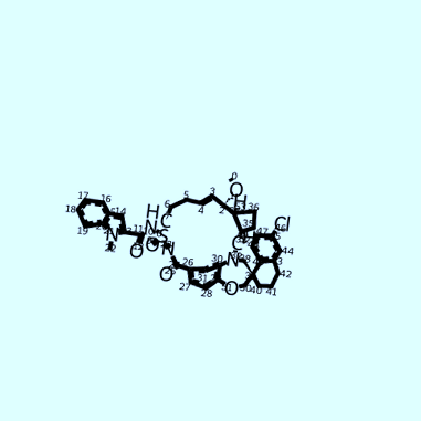 CO[C@H]1/C=C/CCCS(=O)(NC(=O)c2cc3ccccc3n2C)=NC(=O)c2ccc3c(c2)N(C[C@@H]2CC[C@H]21)C[C@@]1(CCCc2cc(Cl)ccc21)CO3